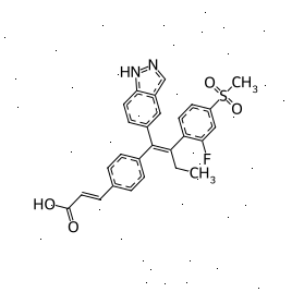 CCC(=C(c1ccc(C=CC(=O)O)cc1)c1ccc2[nH]ncc2c1)c1ccc(S(C)(=O)=O)cc1F